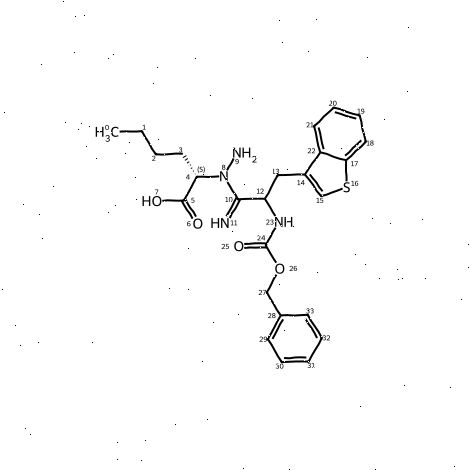 CCCC[C@@H](C(=O)O)N(N)C(=N)C(Cc1csc2ccccc12)NC(=O)OCc1ccccc1